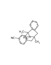 CN1C2(C)Cc3ccccc3C1(C)c1cc(C#N)ccc1C2